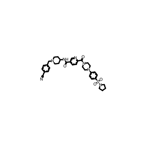 N#Cc1ccc(CN2CCC(NC(=O)c3ccc(C(=O)N4CCN(c5ccc(S(=O)(=O)N6CCCC6)cc5)CC4)nc3)CC2)cc1